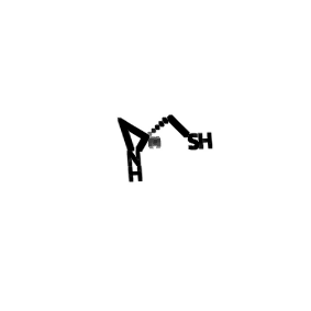 SC[C@H]1CN1